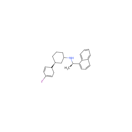 C[C@@H](NC1CCC[C@H](C2C=CC(I)=CC2)C1)c1cccc2ccccc12